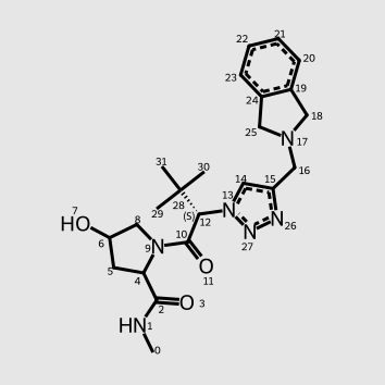 CNC(=O)C1CC(O)CN1C(=O)[C@@H](n1cc(CN2Cc3ccccc3C2)nn1)C(C)(C)C